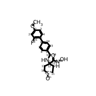 COc1ccc(-c2ccc(CNC3(C(=O)NO)CC[S+]([O-])CC3)cc2)c(F)c1